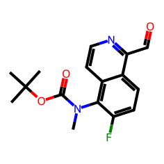 CN(C(=O)OC(C)(C)C)c1c(F)ccc2c(C=O)nccc12